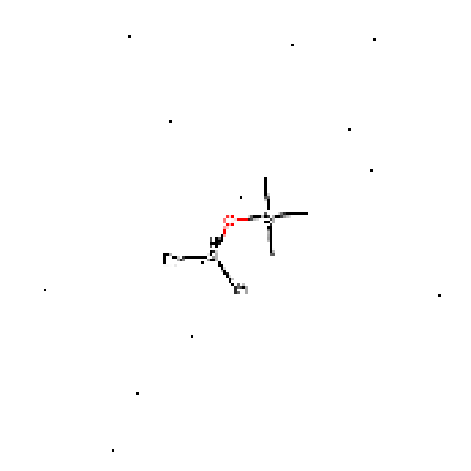 CC[SiH](O[Si](C)(C)C)C(C)C